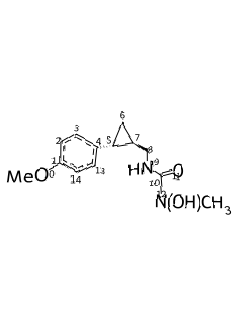 COc1ccc([C@@H]2C[C@H]2CNC(=O)N(C)O)cc1